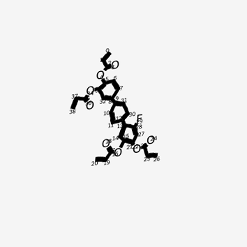 C=CC(=O)Oc1ccc(-c2ccc(-c3cc(OC(=O)C=C)c(OC(=O)C=C)cc3F)cc2)cc1OC(=O)C=C